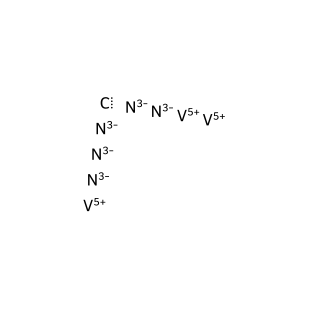 [C].[N-3].[N-3].[N-3].[N-3].[N-3].[V+5].[V+5].[V+5]